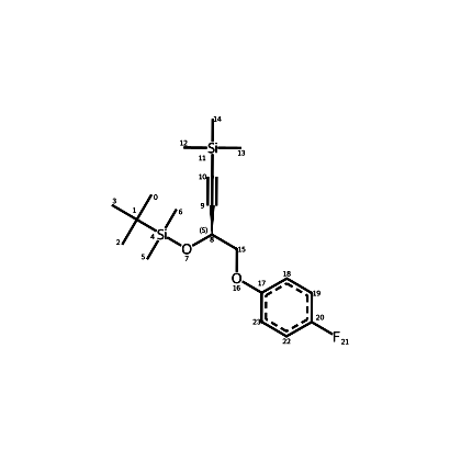 CC(C)(C)[Si](C)(C)O[C@@H](C#C[Si](C)(C)C)COc1ccc(F)cc1